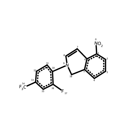 O=[N+]([O-])c1cccc2c1C=CN(c1ccc(C(F)(F)F)cc1F)C2